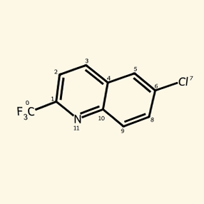 FC(F)(F)c1ccc2cc(Cl)ccc2n1